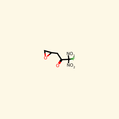 O=C(CC1CO1)C(F)([N+](=O)[O-])[N+](=O)[O-]